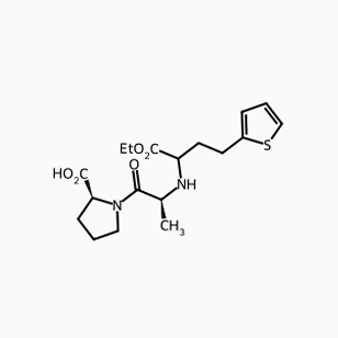 CCOC(=O)C(CCc1cccs1)N[C@@H](C)C(=O)N1CCC[C@H]1C(=O)O